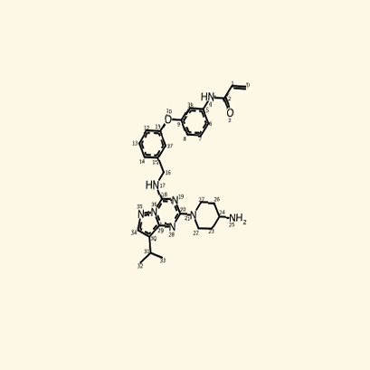 C=CC(=O)Nc1cccc(Oc2cccc(CNc3nc(N4CCC(N)CC4)nc4c(C(C)C)cnn34)c2)c1